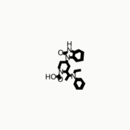 CCN(c1ccccc1)C(C)C1CC(n2c(=O)[nH]c3ccccc32)CCN1C(=O)O